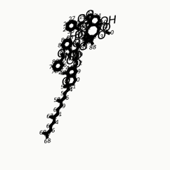 CC(=O)OC1C(=O)C2(C)C(O)CC3OCC3(OC(C)=O)C2C(OC(=O)c2ccccc2)C2(O)CC(OC(=O)C(OC(=O)Oc3cc(C)c4c(c3)CCC(C)(CC/C=C(\C)CC/C=C(\C)CCC=C(C)C)O4)C(NC(=O)c3ccccc3)c3ccccc3)C(C)=C1C2(C)C